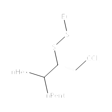 CCCCCCC(CCCCC)[C@@H](CC(Cl)(Cl)Cl)SSCC